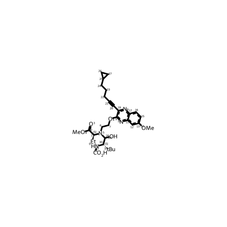 CC[C@@H](C(=O)OC)N(CCOc1nc2cc(OC)ccc2nc1C#CCCCC1CC1)C(O)[C@@H](NC(=O)O)C(C)(C)C